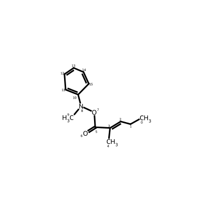 CCC=C(C)C(=O)ON(C)c1ccccc1